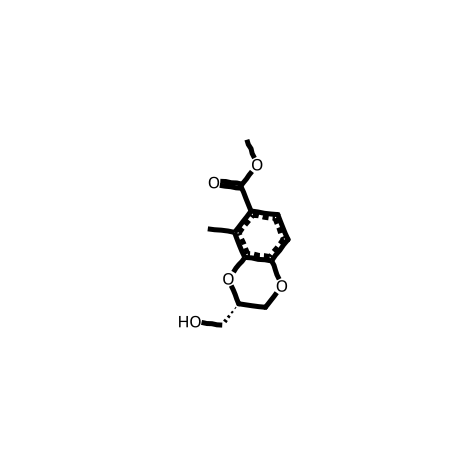 COC(=O)c1ccc2c(c1C)O[C@@H](CO)CO2